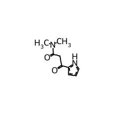 CN(C)C(=O)CC(=O)c1ccc[nH]1